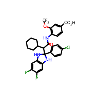 O=C(O)c1ccc(NC(=O)C(C2CCCCC2)C2(c3ccc(Cl)cc3)Nc3cc(F)c(F)cc3N2)c(OC(F)(F)F)c1